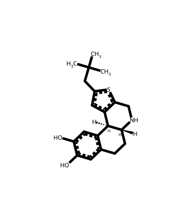 CC(C)(C)Cc1cc2c(s1)CN[C@@H]1CCc3cc(O)c(O)cc3[C@@H]21